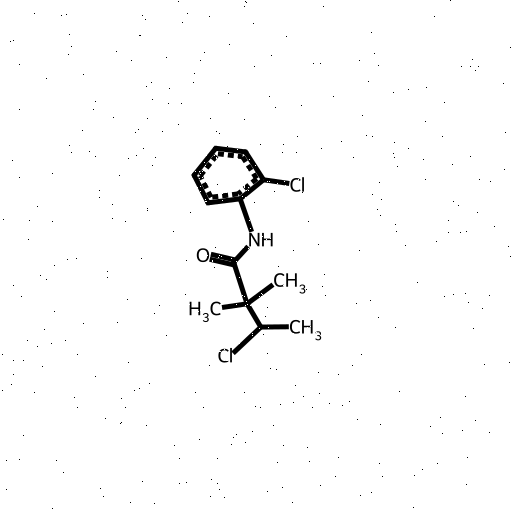 CC(Cl)C(C)(C)C(=O)Nc1ccccc1Cl